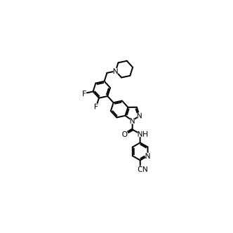 N#Cc1ccc(NC(=O)n2ncc3cc(-c4cc(CN5CCCCC5)cc(F)c4F)ccc32)cn1